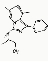 Cc1cc(C)c2c(-c3ccccc3)nc(NC(C)CO)n2n1